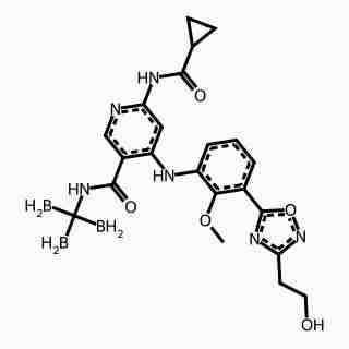 BC(B)(B)NC(=O)c1cnc(NC(=O)C2CC2)cc1Nc1cccc(-c2nc(CCO)no2)c1OC